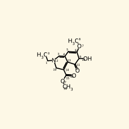 CCN1C=C2C=C(OC)C(O)C(=O)C2=C(C(=O)OC)C1